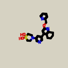 OS1(O)CCN(c2cncc(-c3cc(OCc4ccccn4)nc4c3CCCC4)c2)CC1